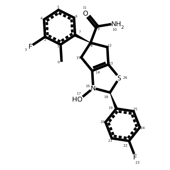 Cc1c(F)cccc1[C@@]1(C(N)=O)CC2=C(C1)N(O)[C@H](c1ccc(F)cc1)S2